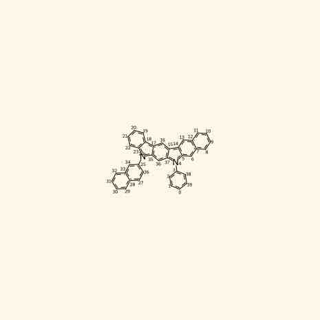 c1ccc(-n2c3cc4ccccc4cc3c3cc4c5ccccc5n(-c5ccc6ccccc6c5)c4cc32)cc1